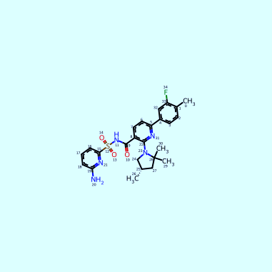 Cc1ccc(-c2ccc(C(=O)NS(=O)(=O)c3cccc(N)n3)c(N3C[C@@H](C)CC3(C)C)n2)cc1F